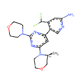 C[C@H]1COCCN1c1cc(-c2cnc(N)cc2C(F)F)nc(N2CCOCC2)n1